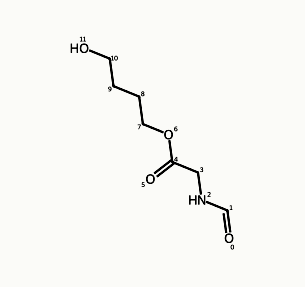 O=CNCC(=O)OCCCCO